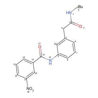 CCC(C)NC(=O)Cc1cccc(NC(=O)c2cccc([N+](=O)[O-])c2)c1